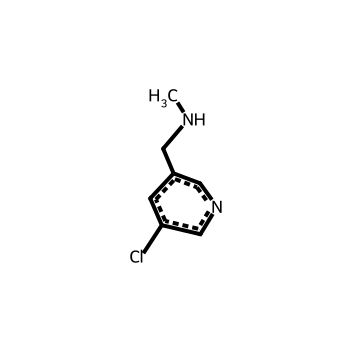 CNCc1cncc(Cl)c1